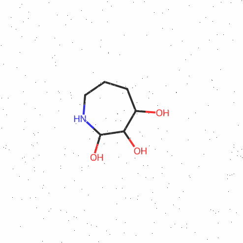 OC1CCCNC(O)C1O